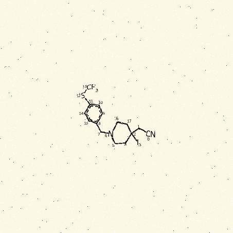 N#CCC1(I)CCN(Cc2ccc(SC(F)(F)F)cc2)CC1